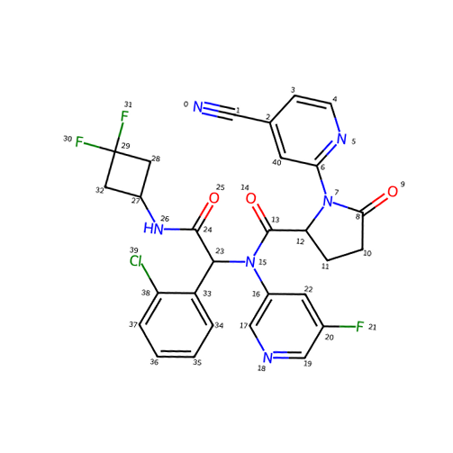 N#Cc1ccnc(N2C(=O)CCC2C(=O)N(c2cncc(F)c2)C(C(=O)NC2CC(F)(F)C2)c2ccccc2Cl)c1